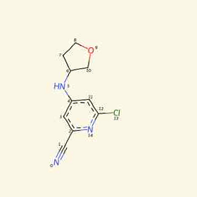 N#Cc1cc(NC2CCOC2)cc(Cl)n1